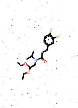 CCOC(CN(C(=O)[CH]Cc1ccc(F)c(F)c1)C(C)C)OCC